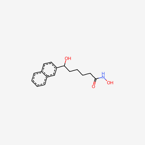 O=C(CCCCC(O)c1ccc2ccccc2c1)NO